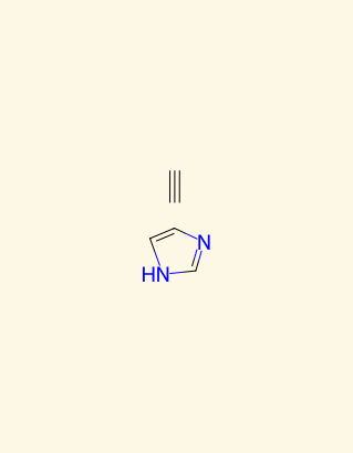 C#C.c1c[nH]cn1